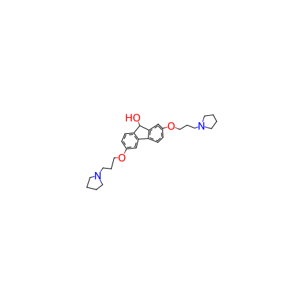 OC1c2ccc(OCCCN3CCCC3)cc2-c2ccc(OCCCN3CCCC3)cc21